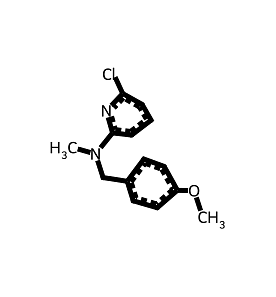 COc1ccc(CN(C)c2cccc(Cl)n2)cc1